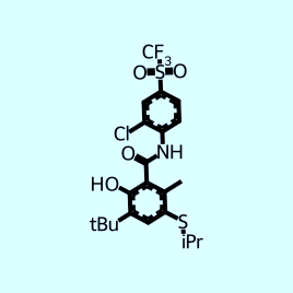 Cc1c(SC(C)C)cc(C(C)(C)C)c(O)c1C(=O)Nc1ccc(S(=O)(=O)C(F)(F)F)cc1Cl